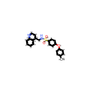 N#Cc1ccc(Oc2ccc(S(=O)(=O)NCc3ccnc4ccccc34)cc2)cc1